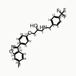 OC(CNCc1ccc(C(F)(F)F)cc1)COc1ccc(-c2noc3cc(F)ccc23)cc1